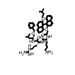 CC(C)CCOc1ccc2ccccc2c1-c1c(OCC(=O)N[C@H](CCCCN)C(=O)N[C@H](CCCNC(=N)N)C(=O)N[C@H](COCc2ccccc2)CC(C)C)ccc2ccccc12